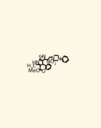 COC(=O)C1=C(C)Nc2snc(CCN3CCN(c4ccccc4)CC3)c2C1c1ccccc1[N+](=O)[O-]